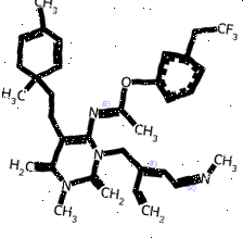 C=C/C(=C\C=N/C)CN1C(=C)N(C)C(=C)C(CCC2(C)C=CC(C)=CC2)=C1/N=C(\C)Oc1cccc(CC(F)(F)F)c1